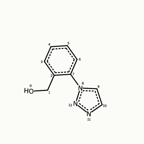 OCc1ccccc1-n1ccnn1